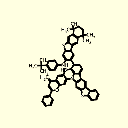 C=C1C=C(c2ccccc2)Oc2cc3c(cc21)Bc1c(-c2cc4c(cc2Nc2ccc(C(C)(C)C)cc2)sc2cc5c(cc24)C(C)(C)CCC5(C)C)ccc2c4cc5c(cc4n-3c12)sc1ccccc15